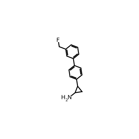 NC1CC1c1ccc(-c2cccc(CF)c2)cc1